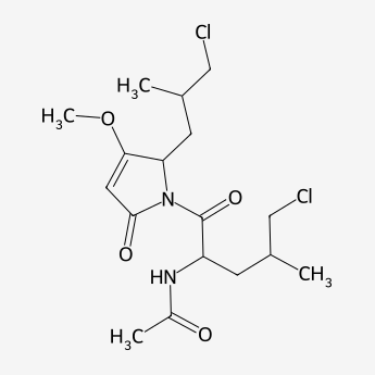 COC1=CC(=O)N(C(=O)C(CC(C)CCl)NC(C)=O)C1CC(C)CCl